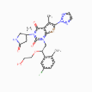 COc1ccc(F)cc1[C@H](Cn1c(=O)n([C@]2(C)CNC(=O)C2)c(=O)c2c(C)c(-n3nccn3)sc21)OCCO